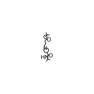 CC(C)NC(=O)C1CCN(CCCC(=O)OC(C)C)CC1